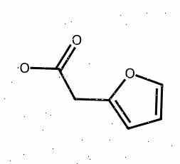 [O]C(=O)Cc1ccco1